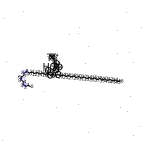 CC/C=C\C/C=C\C/C=C\CCCCCCCC(=O)O[C@H](COCCCCCCCCCCCCCCCCCCCCCCCC)COP(=O)(O)OCC[N+](C)(C)C